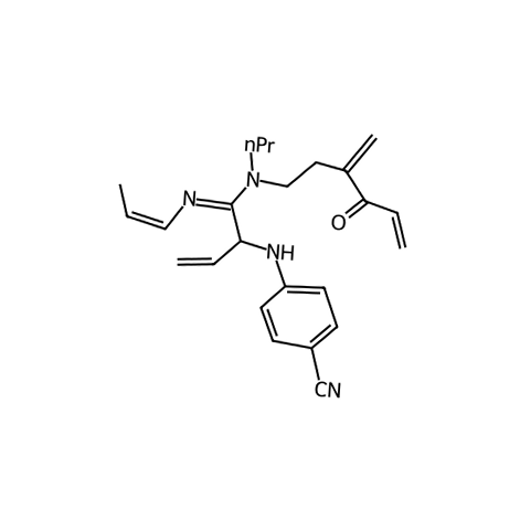 C=CC(=O)C(=C)CCN(CCC)/C(=N/C=C\C)C(C=C)Nc1ccc(C#N)cc1